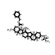 CC1=C2C[C@H]3C(CC[C@@H]4C[C@H](NS(C)(=O)=O)CC[C@@]43C)[C@@H]2CC[C@]12O[C@@H]1C[C@H](C)CN(C(=O)OCc3ccccc3)[C@H]1[C@H]2C